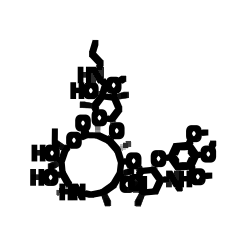 CCCNC[C@]1(O)[C@H](C)O[C@@H](O[C@H]2[C@H](C)[C@@H](O[C@@H]3O[C@H](C)C[C@H](NC)[C@H]3Oc3cc(OC)c(OC)c(OC)c3)[C@](C)(O)C[C@@H](C)CN[C@H](C)[C@@H](O)[C@](C)(O)[C@@H](CC)OC(=O)[C@@H]2C)C[C@@]1(C)OC